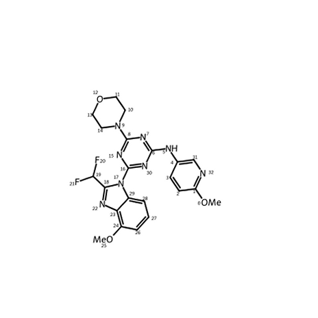 COc1ccc(Nc2nc(N3CCOCC3)nc(-n3c(C(F)F)nc4c(OC)cccc43)n2)cn1